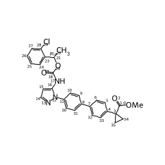 COC(=O)C1(c2ccc(-c3ccc(-n4nccc4NC(=O)O[C@H](C)c4ccccc4Cl)cc3)cc2)CC1